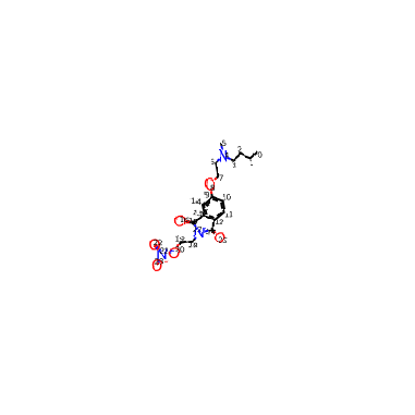 CCCCN(C)CCOc1ccc2c(c1)C(=O)N(CCO[N+](=O)[O-])C2=O